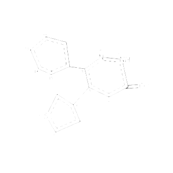 O=c1cc(-c2ccsc2)c(-c2ccccc2)n[nH]1